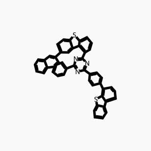 c1ccc(-c2nc(-c3ccc(-c4cccc5c4sc4ccccc45)cc3)nc(-c3cccc4sc5ccc(-c6ccc7ccccc7c6)cc5c34)n2)cc1